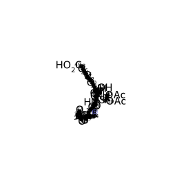 CC(=O)OC[C@H](CSC[C@H](NC(=O)OC1/C=C/CCC(C)(C(=O)ON2C(=O)CCC2=O)CC1)C(=O)N[C@@H](CO)C(=O)NCCOCCOCCOCC(=O)O)OC(C)=O